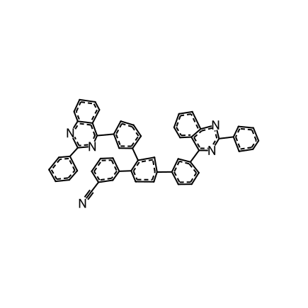 N#Cc1cccc(-c2ccc(-c3cccc(-c4nc(-c5ccccc5)nc5ccccc45)c3)cc2-c2cccc(-c3nc(-c4ccccc4)nc4ccccc34)c2)c1